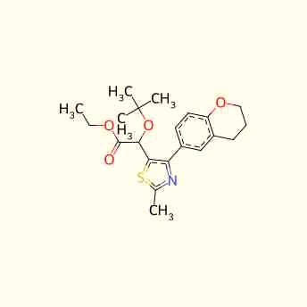 CCOC(=O)C(OC(C)(C)C)c1sc(C)nc1-c1ccc2c(c1)CCCO2